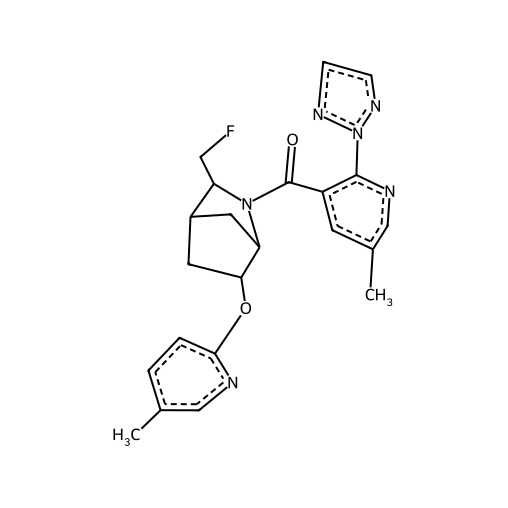 Cc1ccc(OC2CC3CC2N(C(=O)c2cc(C)cnc2-n2nccn2)C3CF)nc1